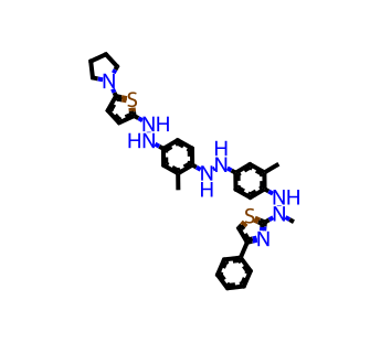 Cc1cc(NNc2ccc(N3CCCC3)s2)ccc1NNc1ccc(NN(C)c2nc(-c3ccccc3)cs2)c(C)c1